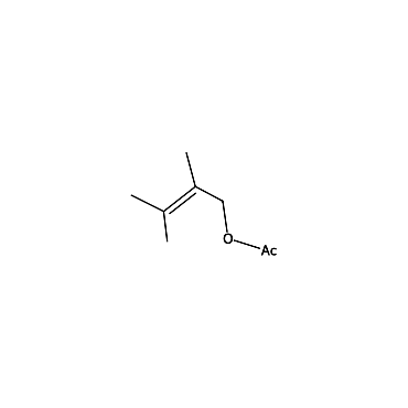 CC(=O)OCC(C)=C(C)C